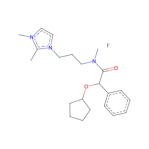 Cc1n(CCCN(C)C(=O)C(OC2CCCC2)c2ccccc2)cc[n+]1C.[I-]